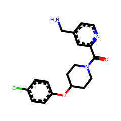 NCc1ccnc(C(=O)N2CCC(Oc3ccc(Cl)cc3)CC2)c1